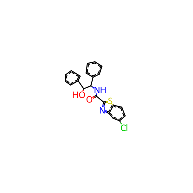 O=C(N[C@H](c1ccccc1)[C@@H](O)c1ccccc1)c1nc2cc(Cl)ccc2s1